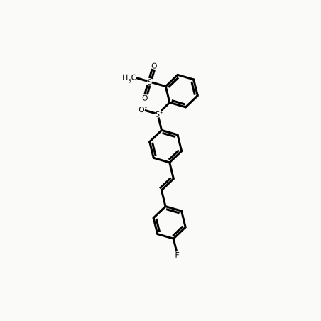 CS(=O)(=O)c1ccccc1[S+]([O-])c1ccc(C=Cc2ccc(F)cc2)cc1